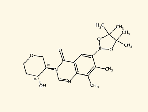 Cc1c(B2OC(C)(C)C(C)(C)O2)cc2c(=O)n([C@@H]3COCC[C@H]3O)cnc2c1C